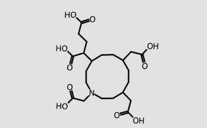 O=C(O)CCC(C(=O)O)C1CCC(CC(=O)O)CCC(CC(=O)O)CCN(CC(=O)O)CC1